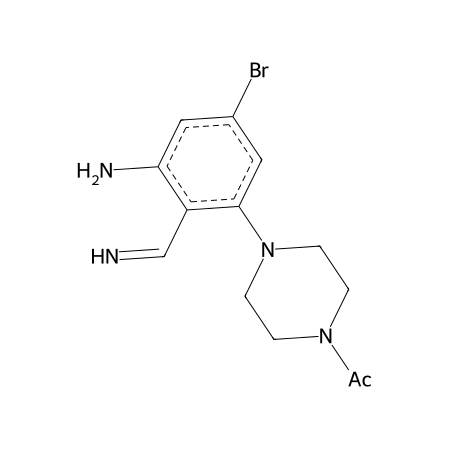 CC(=O)N1CCN(c2cc(Br)cc(N)c2C=N)CC1